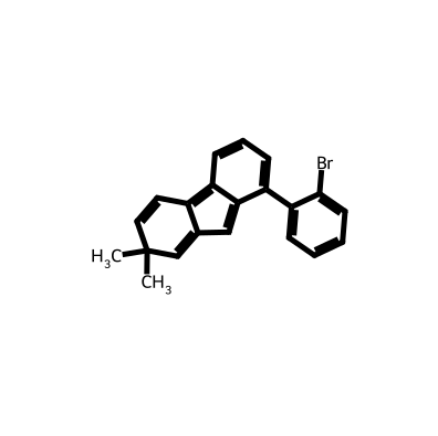 CC1(C)C=CC2=c3cccc(-c4ccccc4Br)c3=CC2=C1